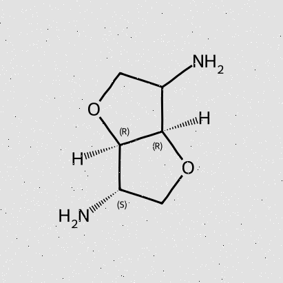 NC1CO[C@H]2[C@@H]1OC[C@@H]2N